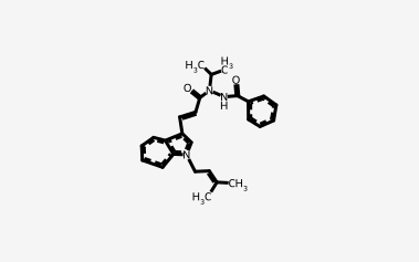 CC(C)=CCn1cc(C=CC(=O)N(NC(=O)c2ccccc2)C(C)C)c2ccccc21